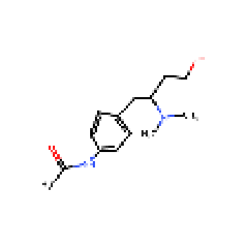 CC(=O)Nc1ccc(CC(CCO)N(C)C)cc1